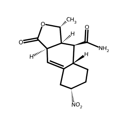 C[C@H]1OC(=O)[C@@H]2C=C3C[C@@H]([N+](=O)[O-])CC[C@H]3[C@H](C(N)=O)[C@H]12